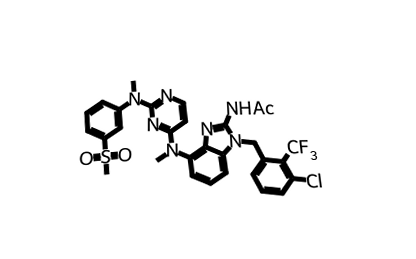 CC(=O)Nc1nc2c(N(C)c3ccnc(N(C)c4cccc(S(C)(=O)=O)c4)n3)cccc2n1Cc1cccc(Cl)c1C(F)(F)F